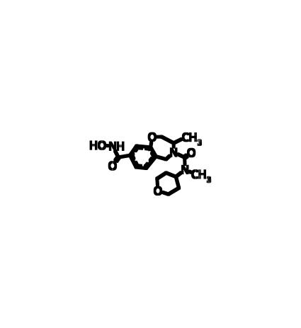 CC1COc2cc(C(=O)NO)ccc2CN1C(=O)N(C)C1CCOCC1